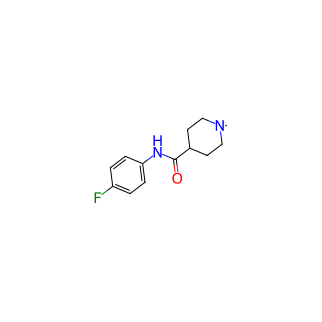 O=C(Nc1ccc(F)cc1)C1CC[N]CC1